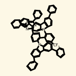 FC(F)(F)c1ccc(-n2c3ccc(-c4ccccc4)cc3c3cc(-c4ccccc4)ccc32)c(-c2cc(-c3nc(-c4ccccc4)nc(-c4ccccc4)n3)ccc2-n2c3ccc(-c4ccccc4)cc3c3cc(-c4ccccc4)ccc32)c1